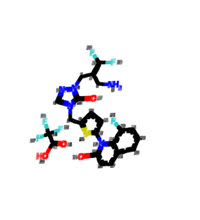 NCC(Cn1ncn(Cc2ccc(-n3c(=O)ccc4cccc(F)c43)s2)c1=O)=C(F)F.O=C(O)C(F)(F)F